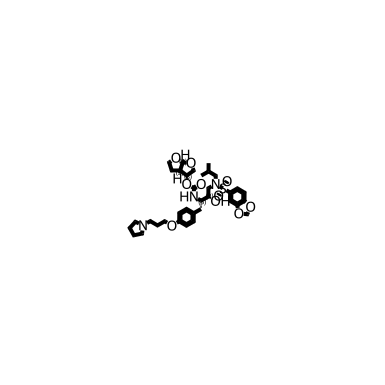 CC(C)CN(C[C@@H](O)[C@H](Cc1ccc(OCCCN2CCCC2)cc1)NC(=O)O[C@@H]1CO[C@H]2OCC[C@H]21)S(=O)(=O)c1ccc2c(c1)OCO2